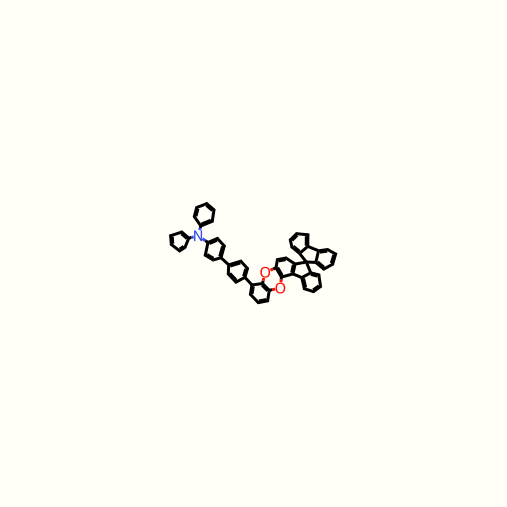 c1ccc(N(c2ccccc2)c2ccc(-c3ccc(-c4cccc5c4Oc4ccc6c(c4O5)-c4ccccc4C64c5ccccc5-c5ccccc54)cc3)cc2)cc1